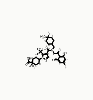 CC1(C)CCC(CN(CC(=O)c2c(Cl)cc(F)cc2Cl)C(=O)c2cnn(C3CCC(C)(C(=O)O)CC3)c2C(F)(F)F)CC1